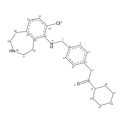 O=C(Cc1ccc(CNc2c(Cl)ccc3c2CCNCC3)cc1)C1CCCCC1